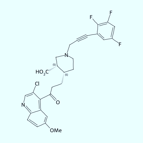 COc1ccc2ncc(Cl)c(C(=O)CC[C@H]3CCN(CC#Cc4cc(F)cc(F)c4F)C[C@H]3C(=O)O)c2c1